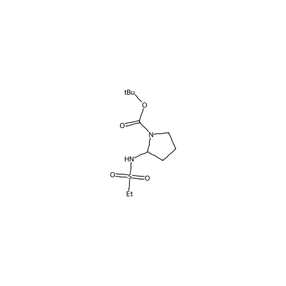 CCS(=O)(=O)NC1CCCN1C(=O)OC(C)(C)C